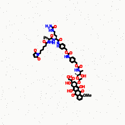 COc1cccc2c1C(=O)c1c(O)c3c(c(O)c1C2=O)C[C@@](O)(C(=O)CO)C[C@@H]3OC(C)O[C@H](C)C(O)C(C)NC(=O)OCc1ccc(NC(=O)OCc2ccc(NC(=O)[C@H](CCCNC(N)=O)NC(=O)C(NC(=O)CCCCCN3C(=O)C=CC3=O)C(C)C)cc2)cc1